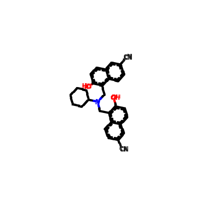 N#Cc1ccc2c(CN(Cc3c(O)ccc4cc(C#N)ccc34)C3CCCCC3)c(O)ccc2c1